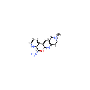 CC(C)N1CCc2ncc(-c3cccnc3C(N)=O)cc2C1